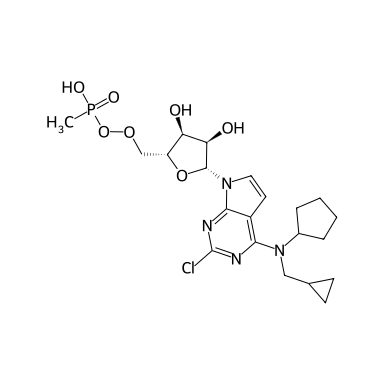 CP(=O)(O)OOC[C@H]1O[C@@H](n2ccc3c(N(CC4CC4)C4CCCC4)nc(Cl)nc32)[C@H](O)[C@@H]1O